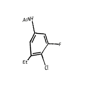 CCc1cc(NC(C)=O)cc(F)c1Cl